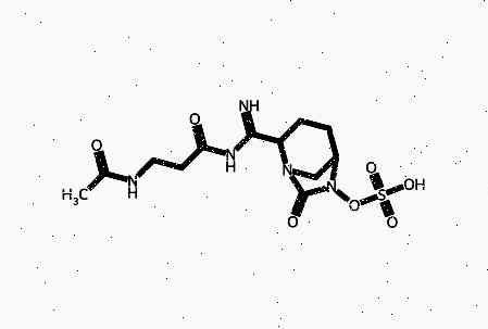 CC(=O)NCCC(=O)NC(=N)C1CCC2CN1C(=O)N2OS(=O)(=O)O